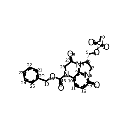 CS(=O)(=O)OC[C@@H]1Cn2c3c(ccc2=O)N(C(=O)OCc2ccccc2)CC(=O)N31